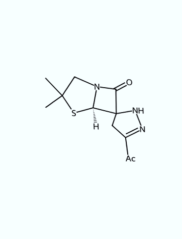 CC(=O)C1=NNC2(C1)C(=O)N1CC(C)(C)S[C@@H]12